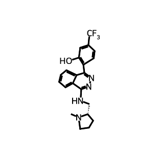 CN1CCC[C@H]1CNc1nnc(-c2ccc(C(F)(F)F)cc2O)c2ccccc12